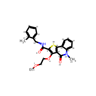 CCOCCOc1c(C(=O)NCc2ccccc2C)sc2c1c(=O)n(C)c1ccccc21